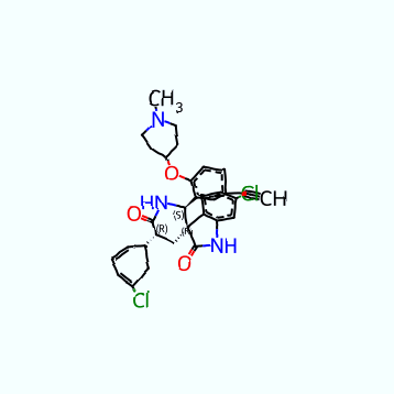 C#Cc1ccc(OC2CCN(C)CC2)c([C@@H]2NC(=O)[C@@H](C3C=CC=C(Cl)C3)C[C@]23C(=O)Nc2cc(Cl)ccc23)c1